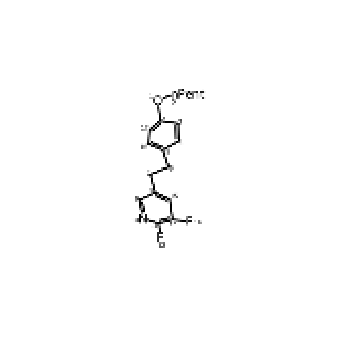 CCCCCOc1ccc(CCc2cnc(F)c(F)c2)cc1